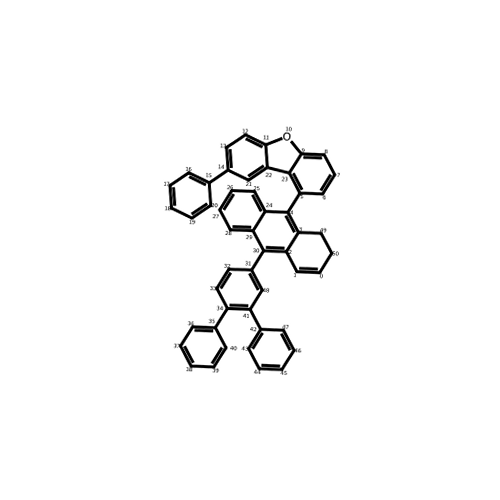 C1=Cc2c(c(-c3cccc4oc5ccc(-c6ccccc6)cc5c34)c3ccccc3c2-c2ccc(-c3ccccc3)c(-c3ccccc3)c2)CC1